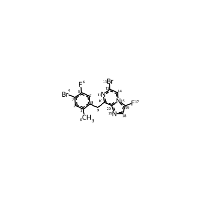 Cc1cc(Br)c(F)cc1Cc1nc(Br)cn2c(F)cnc12